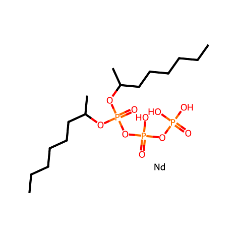 CCCCCCC(C)OP(=O)(OC(C)CCCCCC)OP(=O)(O)OP(=O)(O)O.[Nd]